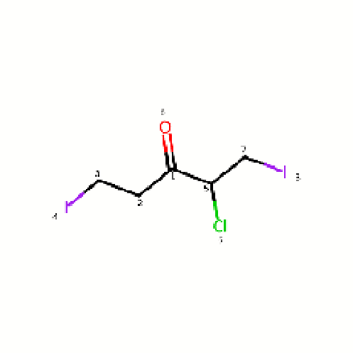 O=C(CCI)C(Cl)CI